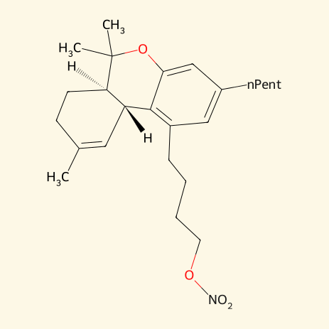 CCCCCc1cc(CCCCO[N+](=O)[O-])c2c(c1)OC(C)(C)[C@@H]1CCC(C)=C[C@@H]21